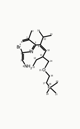 C=C(C)C(=N\C(Br)=C/N)/C(=C\C(CC)COCC[Si](C)(C)C)C(C)C